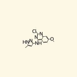 COc1ccc2c(Nc3cc(C)[nH]n3)nc(Cl)nc2c1